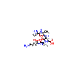 C[C@H](N)C(=O)N[C@@H](C)C(=O)N[C@@H](CCC(=O)O)C(=O)N[C@@H](C)C(=O)N[C@@H](CCCCN)C(=O)O